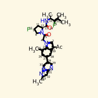 CC(=O)c1cn(CC(=O)N2C[C@H](F)C[C@H]2C(=O)N[C@@H](C)C(F)=C(C)C)c2c(C)cc(-c3cnc4cc(C)nn4c3)cc12